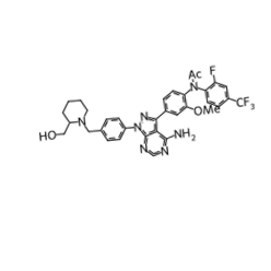 COc1cc(-c2nn(-c3ccc(CN4CCCCC4CO)cc3)c3ncnc(N)c23)ccc1N(C(C)=O)c1ccc(C(F)(F)F)cc1F